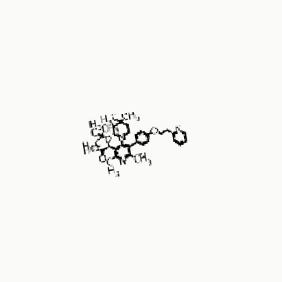 Cc1nc(C)c([C@H](OC(C)(C)C)C(=O)O)c(N2CCC(C)(C)CC2)c1-c1ccc(OCCc2ccccn2)cc1